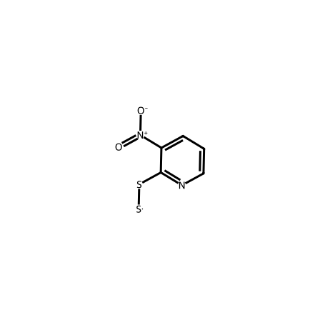 O=[N+]([O-])c1cccnc1S[S]